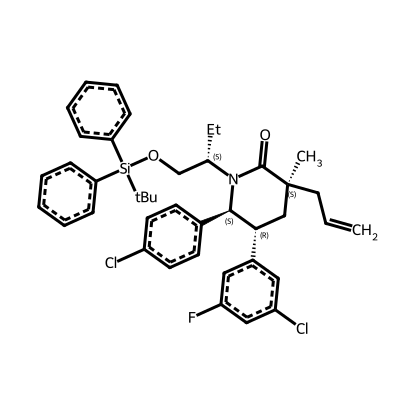 C=CC[C@@]1(C)C[C@H](c2cc(F)cc(Cl)c2)[C@@H](c2ccc(Cl)cc2)N([C@@H](CC)CO[Si](c2ccccc2)(c2ccccc2)C(C)(C)C)C1=O